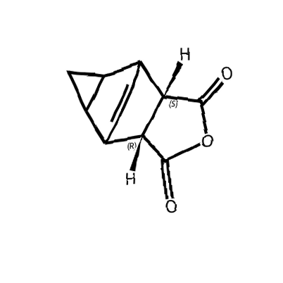 O=C1OC(=O)[C@H]2C3C=CC(C4CC43)[C@@H]12